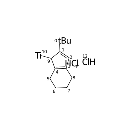 CC(C)(C)C1=CC2=C(CCCC2)[CH]1[Ti].Cl.Cl